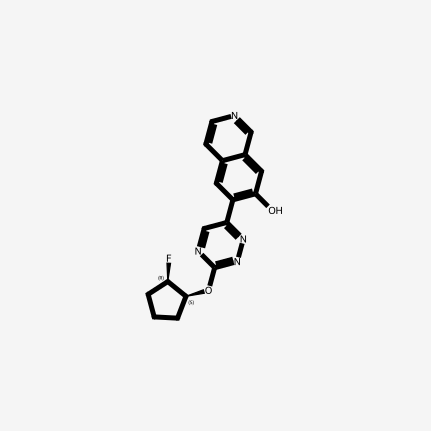 Oc1cc2cnccc2cc1-c1cnc(O[C@H]2CCC[C@H]2F)nn1